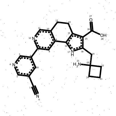 N#Cc1cncc(-c2cc3c(cn2)CCc2c-3[nH]c(CC3(N)CCC3)c2C(=O)O)c1